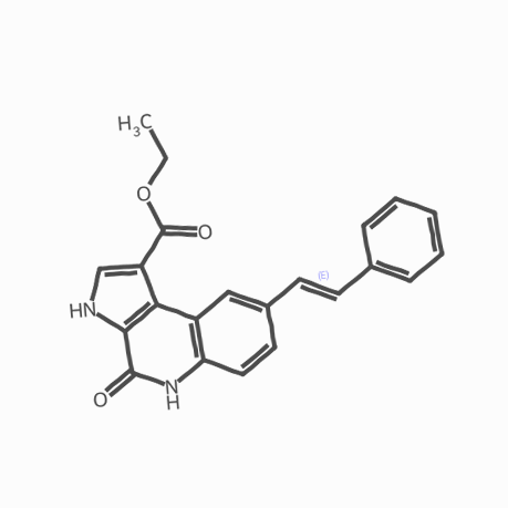 CCOC(=O)c1c[nH]c2c(=O)[nH]c3ccc(/C=C/c4ccccc4)cc3c12